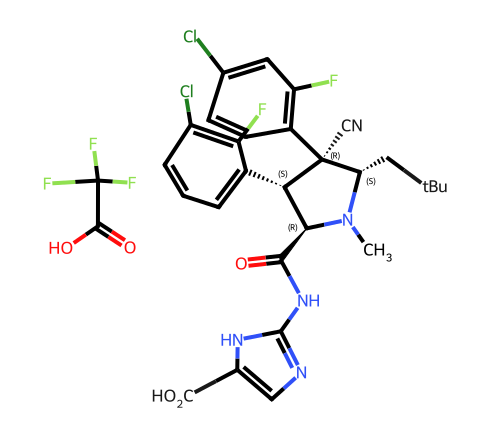 CN1[C@@H](CC(C)(C)C)[C@](C#N)(c2ccc(Cl)cc2F)[C@@H](c2cccc(Cl)c2F)[C@@H]1C(=O)Nc1ncc(C(=O)O)[nH]1.O=C(O)C(F)(F)F